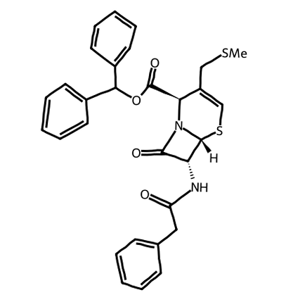 CSCC1=CS[C@@H]2[C@H](NC(=O)Cc3ccccc3)C(=O)N2[C@H]1C(=O)OC(c1ccccc1)c1ccccc1